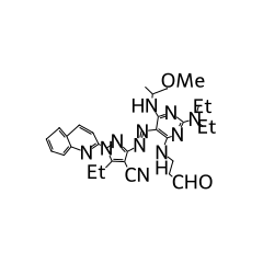 CCc1c(C#N)c(N=Nc2c(NCCC=O)nc(N(CC)CC)nc2NC(C)COC)nn1-c1ccc2ccccc2n1